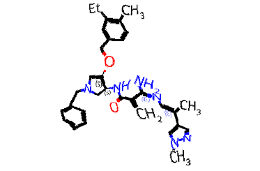 C=C(C(=O)N[C@H]1CN(Cc2ccccc2)C[C@@H]1OCc1ccc(C)c(CC)c1)/C(N)=N\C=C(/C)c1cnn(C)c1